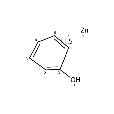 Oc1ccccc1.S.[Zn]